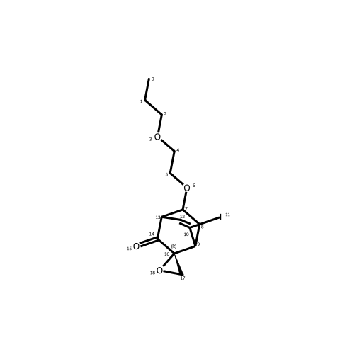 CCCOCCOC1CC2C(I)=CC1C(=O)[C@]21CO1